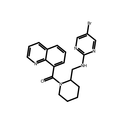 O=C(c1cccc2cccnc12)N1CCCCC1CNc1ncc(Br)cn1